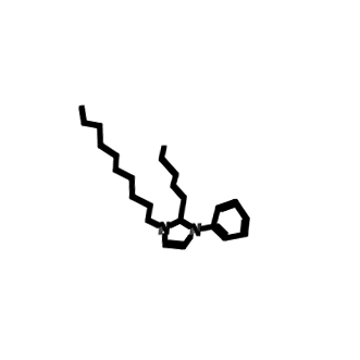 CCCCCCCCCCN1C=CN(c2ccccc2)C1CCCCC